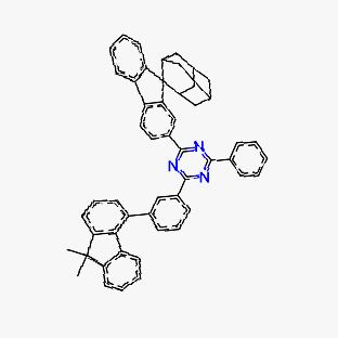 CC1(C)c2ccccc2-c2c(-c3cccc(-c4nc(-c5ccccc5)nc(-c5ccc6c(c5)C5(c7ccccc7-6)C6CC7CC(C6)CC5C7)n4)c3)cccc21